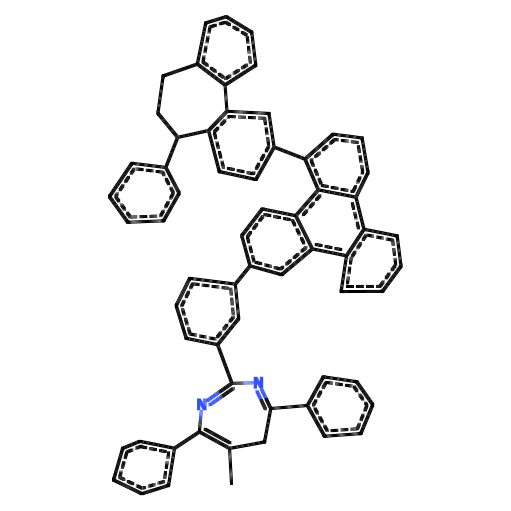 CC1=C(c2ccccc2)N=C(c2cccc(-c3ccc4c(c3)c3ccccc3c3cccc(-c5ccc6c(c5)-c5ccccc5CCC6c5ccccc5)c34)c2)N=C(c2ccccc2)C1